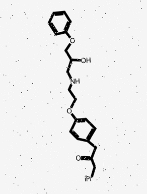 CC(C)CC(=O)Cc1ccc(OCCNCC(O)COc2ccccc2)cc1